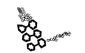 O=C([O-])[O-].O=C([O-])[O-].O=C([O-])[O-].O=C([O-])[O-].O=C([O-])[O-].O=C([O-])[O-].[Rh+3].[Rh+3].[Rh+3].[Rh+3].c1ccc(-c2ccccc2)cc1.c1ccc(-c2ccccc2)cc1.c1ccc(-c2ccccc2)cc1